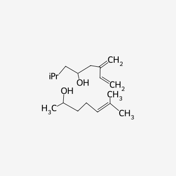 C=CC(=C)CC(O)CC(C)C.CC(C)=CCCC(C)O